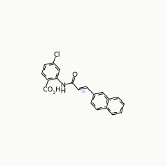 O=C(/C=C/c1ccc2ccccc2c1)Nc1cc(Cl)ccc1C(=O)O